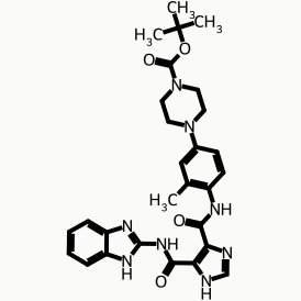 Cc1cc(N2CCN(C(=O)OC(C)(C)C)CC2)ccc1NC(=O)c1nc[nH]c1C(=O)Nc1nc2ccccc2[nH]1